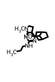 CCCNc1nc(C2C3CCC2CC(O)C3)c2c(n1)N(C)CC2